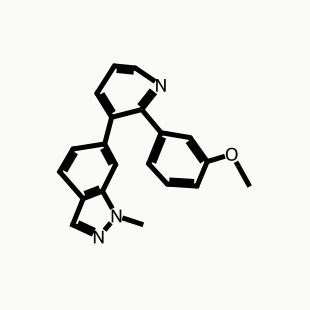 COc1cccc(-c2ncccc2-c2ccc3cnn(C)c3c2)c1